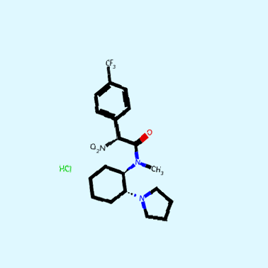 CN(C(=O)[C@H](c1ccc(C(F)(F)F)cc1)[N+](=O)[O-])[C@@H]1CCCC[C@H]1N1CCCC1.Cl